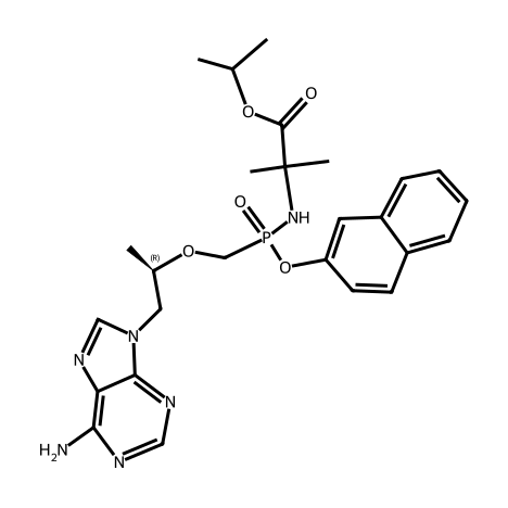 CC(C)OC(=O)C(C)(C)NP(=O)(CO[C@H](C)Cn1cnc2c(N)ncnc21)Oc1ccc2ccccc2c1